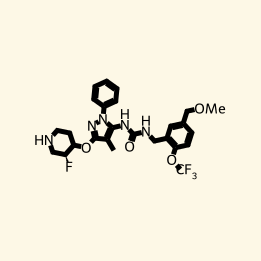 COCc1ccc(OC(F)(F)F)c(CNC(=O)Nc2c(C)c(OC3CCNC[C@H]3F)nn2-c2ccccc2)c1